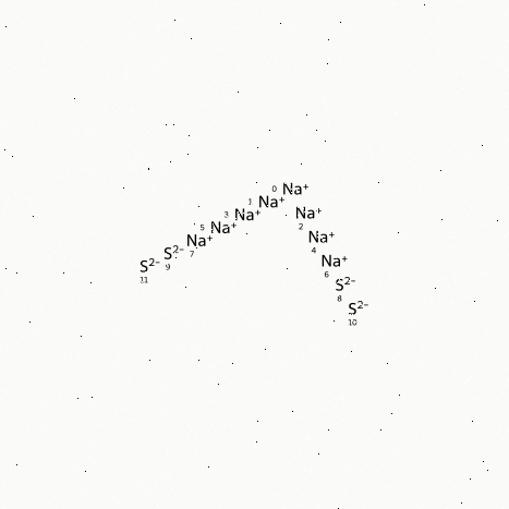 [Na+].[Na+].[Na+].[Na+].[Na+].[Na+].[Na+].[Na+].[S-2].[S-2].[S-2].[S-2]